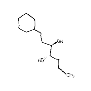 CCC[C@H](O)[C@H](O)CCC1CCCCC1